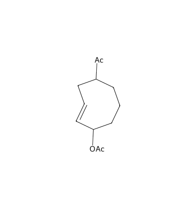 CC(=O)OC1/C=C/CC(C(C)=O)CCC1